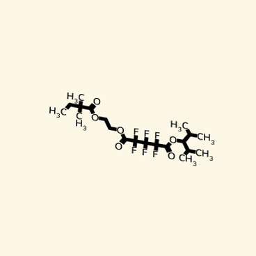 CCC(C)(C)C(=O)OCCOC(=O)C(F)(F)C(F)(F)C(F)(F)C(=O)OC(C(C)C)C(C)C